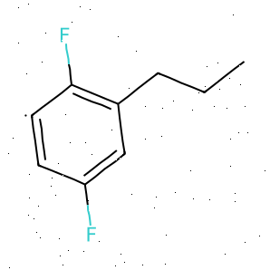 CCCc1cc(F)c[c]c1F